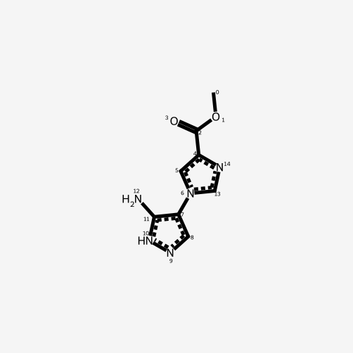 COC(=O)c1cn(-c2cn[nH]c2N)cn1